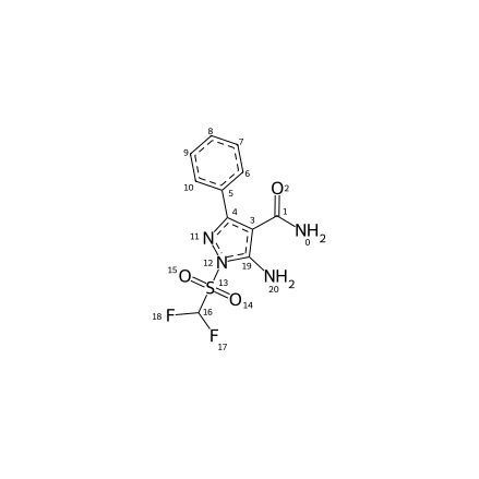 NC(=O)c1c(-c2ccccc2)nn(S(=O)(=O)C(F)F)c1N